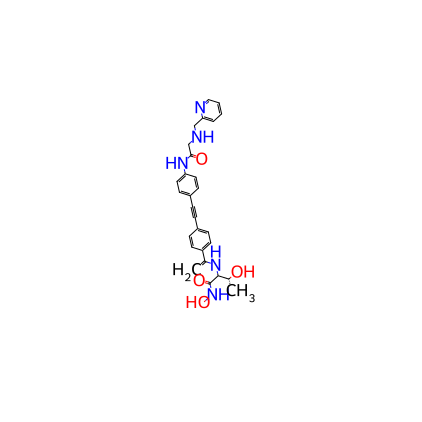 C=C(NC(C(=O)NO)[C@@H](C)O)c1ccc(C#Cc2ccc(NC(=O)CNCc3ccccn3)cc2)cc1